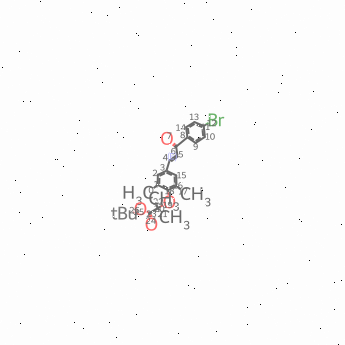 Cc1cc(/C=C/C(=O)c2ccc(Br)cc2)cc(C)c1OC(C)(C)C(=O)OC(C)(C)C